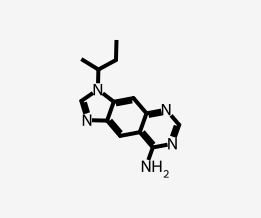 CCC(C)n1cnc2cc3c(N)ncnc3cc21